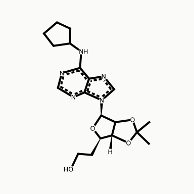 CC1(C)OC2[C@H](n3cnc4c(NC5CCCC5)ncnc43)O[C@H](CCO)[C@H]2O1